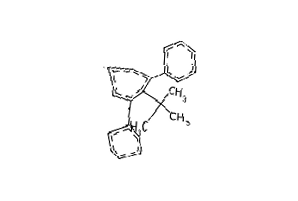 CC(C)(C)c1c(-c2ccccc2)c[c]cc1-c1ccccc1